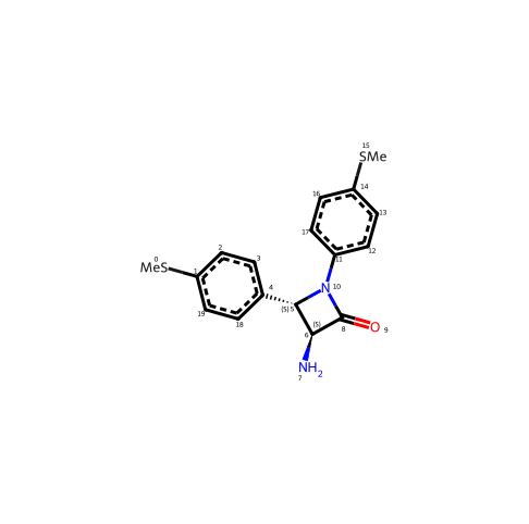 CSc1ccc([C@H]2[C@H](N)C(=O)N2c2ccc(SC)cc2)cc1